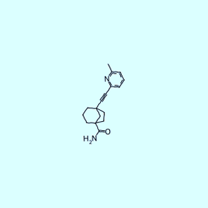 Cc1cccc(C#CC23CCCC(C(N)=O)(CC2)C3)n1